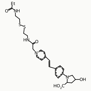 CCC(=O)NCCSSCCNC(=O)C[n+]1ccc(/C=C/c2ccc(N3CC(O)CC3C(=O)O)cc2)cc1